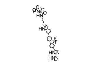 COC(=O)N[C@H](C(=O)NCCCCc1nc2ccc(-c3ccc4c(c3)C(F)(F)c3cc(-c5cnc([C@@H]6CCCN6)[nH]5)ccc3-4)cc2[nH]1)C(C)C